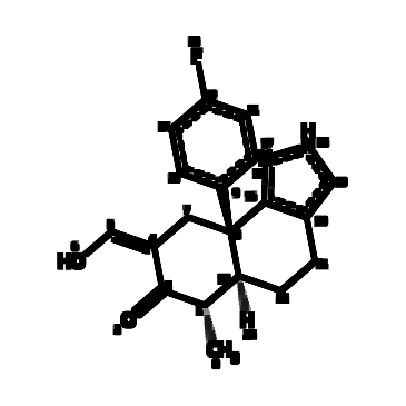 C[C@@H]1C(=O)C(=CO)C[C@]2(c3ccc(F)cc3)c3n[nH]cc3CC[C@@H]12